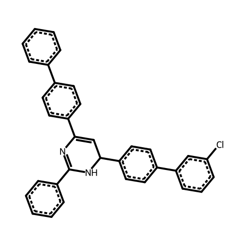 Clc1cccc(-c2ccc(C3C=C(c4ccc(-c5ccccc5)cc4)N=C(c4ccccc4)N3)cc2)c1